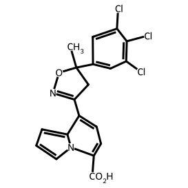 CC1(c2cc(Cl)c(Cl)c(Cl)c2)CC(c2ccc(C(=O)O)n3cccc23)=NO1